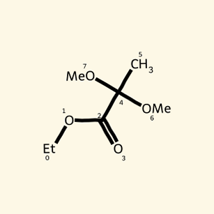 CCOC(=O)C(C)(OC)OC